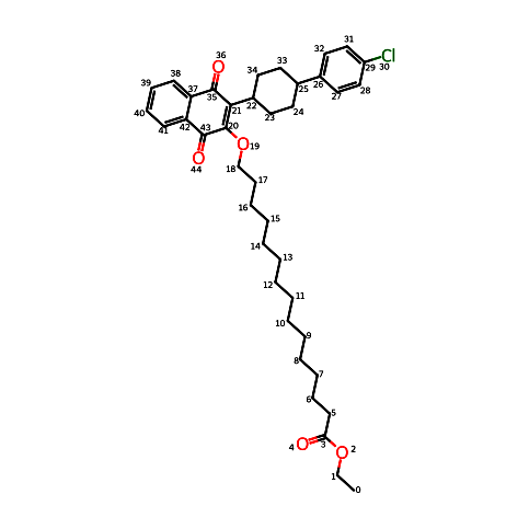 CCOC(=O)CCCCCCCCCCCCCCOC1=C(C2CCC(c3ccc(Cl)cc3)CC2)C(=O)c2ccccc2C1=O